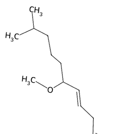 COC(/C=C/CC=O)CCCC(C)C